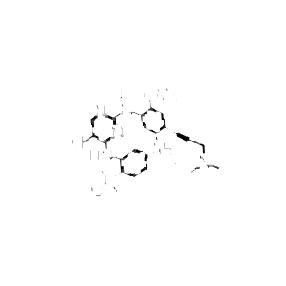 COc1cc(C#CCN(C)C)c(N)cc1Nc1ncc(Cl)c(Nc2ccccc2P(C)(C)=O)n1